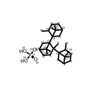 CC1CCC2CC1(C1(C)CCC3CC1(C14CC(CCC1C)C4(C)C)C3(C)C)C2(C)C.O=P(O)(O)O